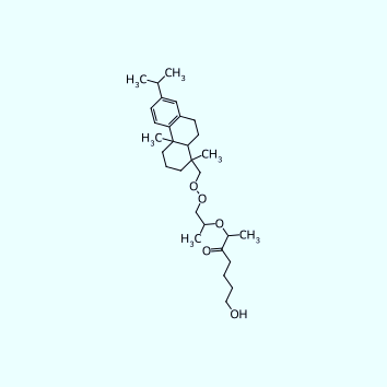 CC(COOCC1(C)CCCC2(C)c3ccc(C(C)C)cc3CCC12)OC(C)C(=O)CCCCO